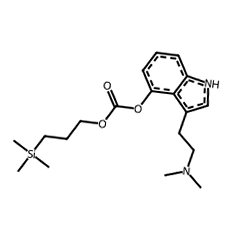 CN(C)CCc1c[nH]c2cccc(OC(=O)OCCC[Si](C)(C)C)c12